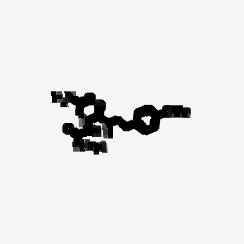 CCCCCCCC(=O)N[C@H](CC(N)=O)C(=O)NCCc1ccc(OC)cc1